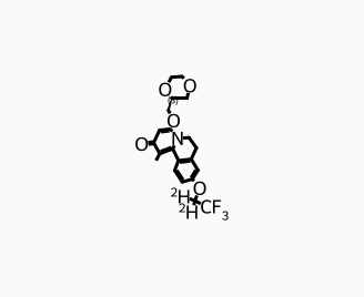 [2H]C([2H])(Oc1ccc2c(c1)CCn1c(OC[C@@H]3COCCO3)cc(=O)c(C)c1-2)C(F)(F)F